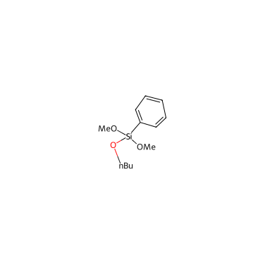 CCCCO[Si](OC)(OC)c1ccccc1